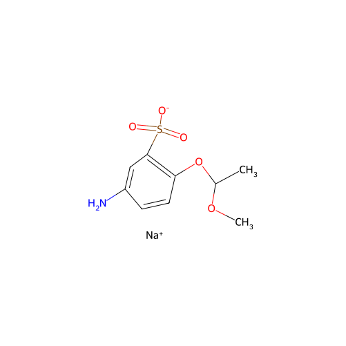 COC(C)Oc1ccc(N)cc1S(=O)(=O)[O-].[Na+]